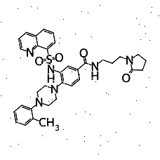 Cc1ccccc1N1CCN(c2ccc(C(=O)NCCCN3CCCC3=O)cc2NS(=O)(=O)c2cccc3cccnc23)CC1